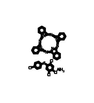 Clc1ccc(Sc2cc(Cl)c(Cl)cc2Cl)cc1.[AlH3].c1ccc2c(c1)-c1nc-2nc2[nH]c(nc3nc(nc4[nH]c(n1)c1ccccc41)-c1ccccc1-3)c1ccccc21